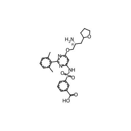 Cc1cccc(C)c1-c1nc(NS(=O)(=O)c2cccc(C(=O)O)c2)cc(OC[C@H](N)CC2CCCO2)n1